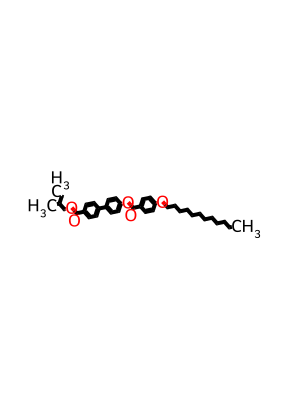 CCCCCCCCCCCCOc1ccc(C(=O)Oc2ccc(-c3ccc(C(=O)OCC(C)CC)cc3)cc2)cc1